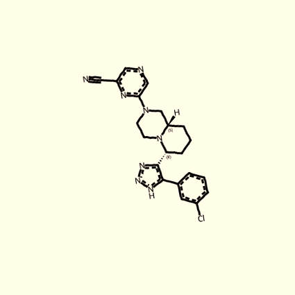 N#Cc1cncc(N2CCN3[C@@H](CCC[C@@H]3c3nn[nH]c3-c3cccc(Cl)c3)C2)n1